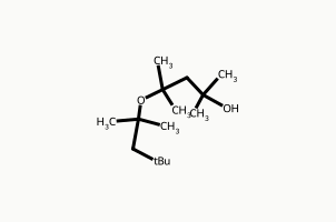 CC(C)(C)CC(C)(C)OC(C)(C)CC(C)(C)O